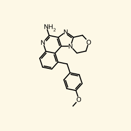 COc1ccc(Cc2cccc3nc(N)c4nc5n(c4c23)CCOC5)cc1